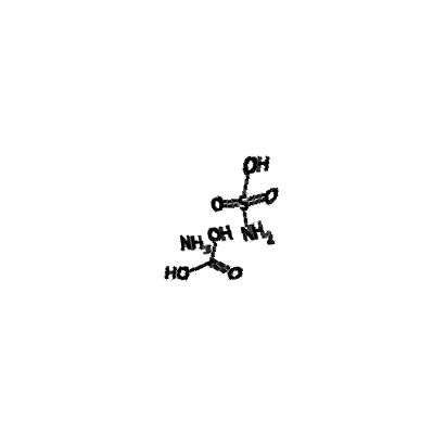 N.NS(=O)(=O)O.O=C(O)O